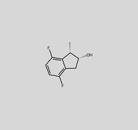 C[C@H]1c2c(F)ccc(F)c2C[C@H]1O